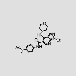 CCn1ncc2c(NC3CCOCC3)c(C(=O)Nc3ccc(N(C)C(C)=O)cc3)cnc21